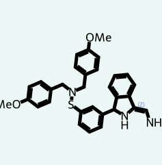 COc1ccc(CN(Cc2ccc(OC)cc2)Sc2cccc(C3N/C(=C\N)c4ccccc43)c2)cc1